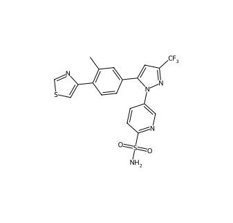 Cc1cc(-c2cc(C(F)(F)F)nn2-c2ccc(S(N)(=O)=O)nc2)ccc1-c1cscn1